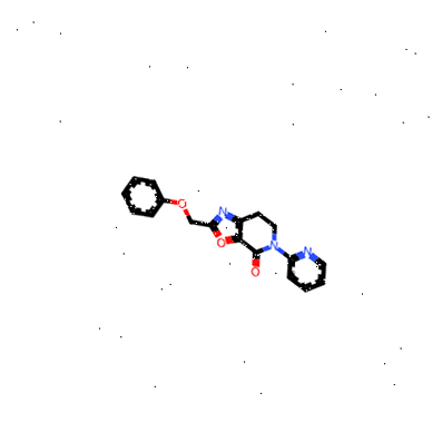 O=C1c2oc(COc3ccccc3)nc2CCN1c1ccccn1